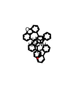 C1=CC2c3ccccc3N(c3cccc4sc5c(-c6cccc7oc8cccc(C9=NC(c%10ccccc%10)NC(c%10ccccc%10)N9)c8c67)cccc5c34)C2C=C1